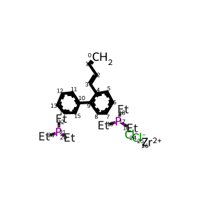 C=CC=Cc1ccccc1-c1ccccc1.CCP(CC)CC.CCP(CC)CC.[Cl-].[Cl-].[Zr+2]